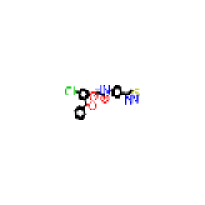 O=C(COc1ccc(Cl)cc1C(=O)c1ccccc1)Nc1ccc(-c2csnn2)cc1